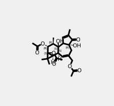 CC(=O)OCC1=C[C@H]2[C@H]3C(C)(C)[C@]3(OC(C)=O)[C@H](OC(C)=O)[C@@H](C)[C@]2(O)C2C=C(C)C(=O)[C@@]2(O)C1